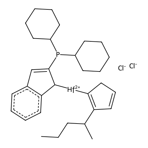 CCCC(C)C1=[C]([Hf+2][CH]2C(P(C3CCCCC3)C3CCCCC3)=Cc3ccccc32)CC=C1.[Cl-].[Cl-]